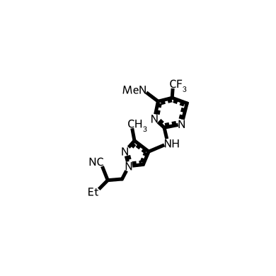 CCC(C#N)Cn1cc(Nc2ncc(C(F)(F)F)c(NC)n2)c(C)n1